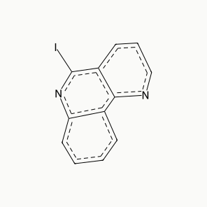 Ic1nc2ccccc2c2ncccc12